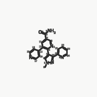 Cn1cc(-c2ncc(C(N)=O)cc2-c2ccncc2)c(-c2ccccn2)n1